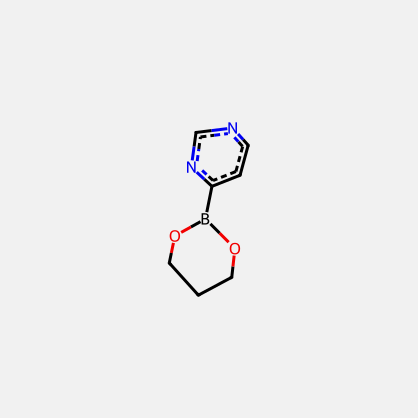 c1cc(B2OCCCO2)ncn1